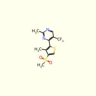 Cc1ncc(C(F)(F)F)c(-c2scc(S(C)(=O)=O)c2C)n1